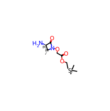 C[C@@H]1[C@@H](N)C(=O)N1OCC(=O)OCC[Si](C)(C)C